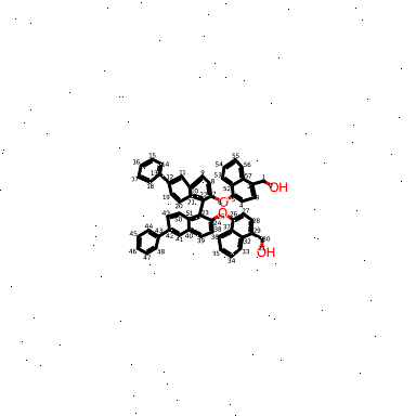 OCc1ccc(Oc2ccc3cc(-c4ccccc4)ccc3c2-c2c(Oc3ccc(CO)c4ccccc34)ccc3cc(-c4ccccc4)ccc23)c2ccccc12